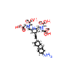 Nc1ccc2c(c1)Cc1cc(C#Cc3cc(CN(CC(=O)O)CC(=O)O)nc(CN(CC(=O)O)CC(=O)O)c3)ccc1-2